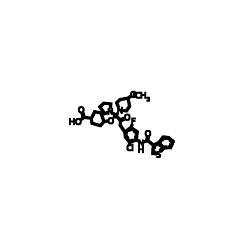 COC1CCN(C(OC2CCC(C(=O)O)CC2)(C(=O)Cc2cc(Cl)c(NC(=O)c3csc4ccccc34)cc2F)N2CCCC2)CC1